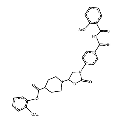 CC(=O)Oc1ccccc1OC(=O)C1CCN(C2CN(c3ccc(C(=N)NC(=O)c4ccccc4OC(C)=O)cc3)C(=O)O2)CC1